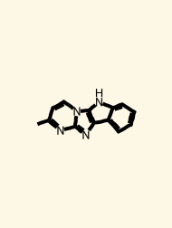 Cc1ccn2c(n1)nc1c3ccccc3[nH]c12